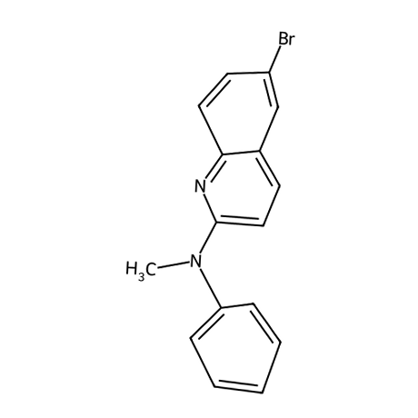 CN(c1ccccc1)c1ccc2cc(Br)ccc2n1